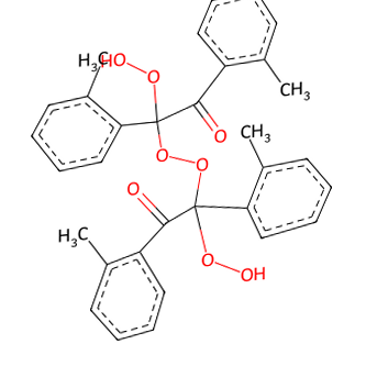 Cc1ccccc1C(=O)C(OO)(OOC(OO)(C(=O)c1ccccc1C)c1ccccc1C)c1ccccc1C